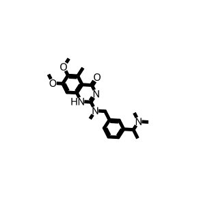 COc1cc2[nH]c(N(C)Cc3cccc(C(C)N(C)C)c3)nc(=O)c2c(C)c1OC